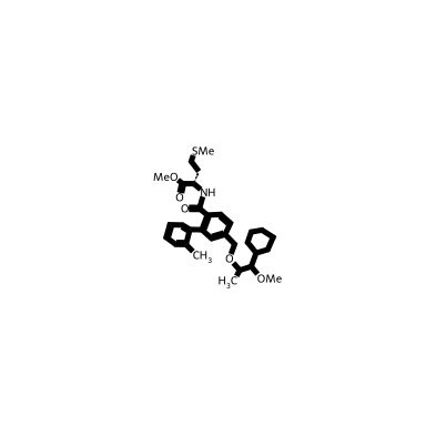 COC(=O)[C@H](CCSC)NC(=O)c1ccc(COC(C)C(OC)C2CCCCC2)cc1-c1ccccc1C